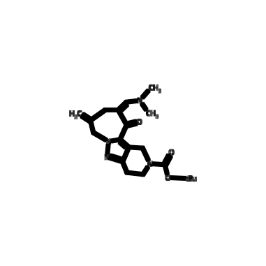 C=C1C/C(=C/N(C)C)C(=O)c2c3c(nn2C1)CCN(C(=O)OC(C)(C)C)C3